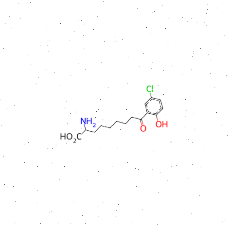 NC(CCCCCCC(=O)c1cc(Cl)ccc1O)C(=O)O